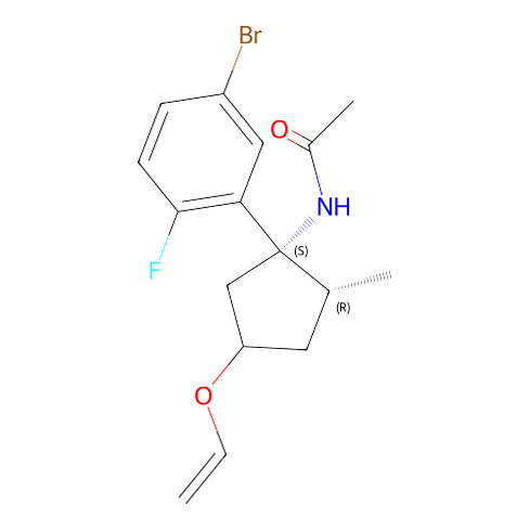 C=COC1C[C@@H](C)[C@](NC(C)=O)(c2cc(Br)ccc2F)C1